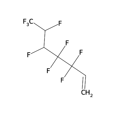 C=CC(F)(F)C(F)(F)C(F)C(F)C(F)(F)F